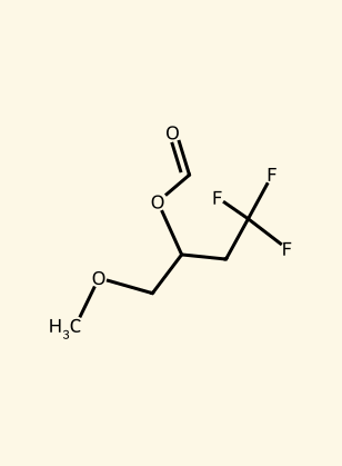 COCC(CC(F)(F)F)OC=O